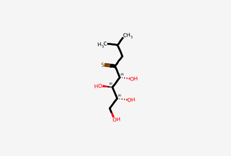 CC(C)CC(=S)[C@H](O)[C@H](O)[C@H](O)CO